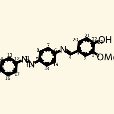 COc1cc(C=Nc2ccc(N=Nc3ccccc3)cc2)ccc1O